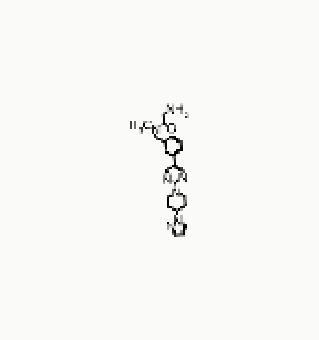 CN(Cc1cccc(-c2cnc(N3CCC(n4cccn4)CC3)nc2)c1)C(=O)CN